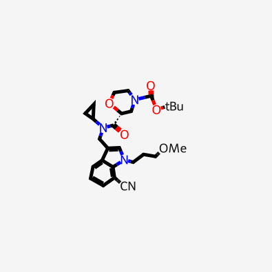 COCCCn1cc(CN(C(=O)[C@H]2CN(C(=O)OC(C)(C)C)CCO2)C2CC2)c2cccc(C#N)c21